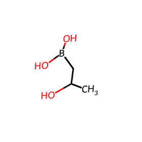 CC(O)CB(O)O